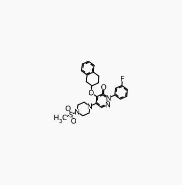 CS(=O)(=O)N1CCN(c2cnn(-c3cccc(F)c3)c(=O)c2OC2CCc3ccccc3C2)CC1